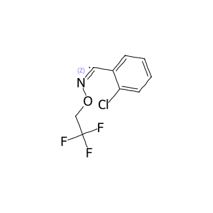 FC(F)(F)CO/N=[C]\c1ccccc1Cl